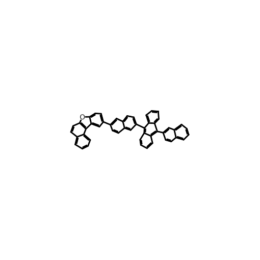 c1ccc2cc(-c3c4ccccc4c(-c4ccc5cc(-c6ccc7oc8ccc9ccccc9c8c7c6)ccc5c4)c4ccccc34)ccc2c1